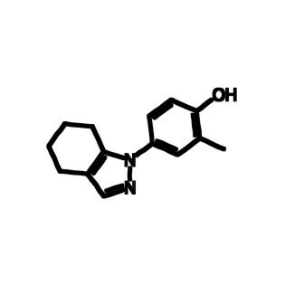 Cc1cc(-n2ncc3c2CCCC3)ccc1O